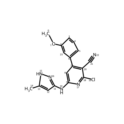 COc1cccc(-c2cc(Nc3cc(C)[nH]n3)nc(Cl)c2C#N)c1